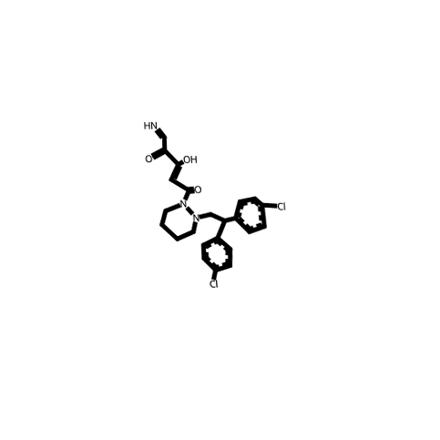 N=CC(=O)/C(O)=C/C(=O)N1CCCCN1CC(c1ccc(Cl)cc1)c1ccc(Cl)cc1